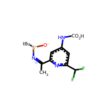 C/C(=N/[S+]([O-])C(C)(C)C)c1cc(NC(=O)O)cc(C(F)F)n1